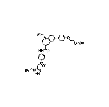 CCCCOCCOc1ccc(-c2ccc3c(c2)C=C(C(=O)Nc2ccc([S+]([O-])Cc4nncn4CC(C)C)cc2)CCN3CC(C)C)cc1